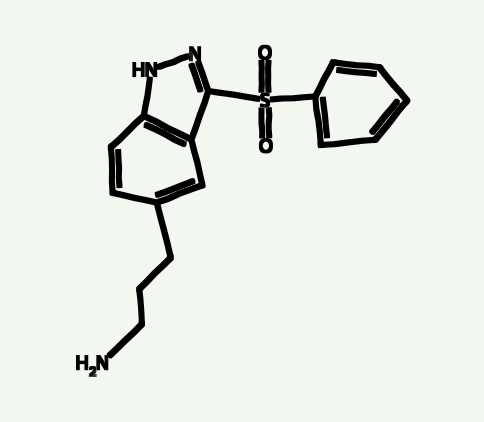 NCCCc1ccc2[nH]nc(S(=O)(=O)c3ccccc3)c2c1